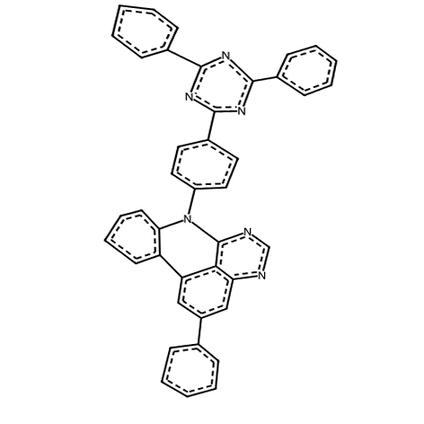 c1ccc(-c2cc3c4c(ncnc4c2)N(c2ccc(-c4nc(-c5ccccc5)nc(-c5ccccc5)n4)cc2)c2ccccc2-3)cc1